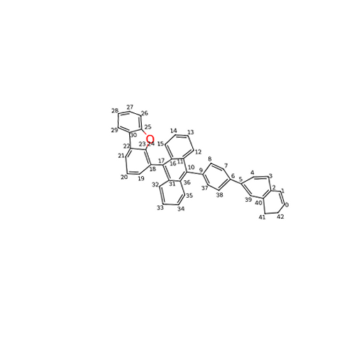 C1=Cc2ccc(-c3ccc(-c4c5ccccc5c(-c5cccc6c5oc5ccccc56)c5ccccc45)cc3)cc2CC1